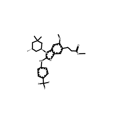 COC(=O)CCc1cc2nc(Nc3ccc(C(F)(F)F)cc3)n([C@H]3C[C@H](C)CC(C)(C)C3)c2cc1OC